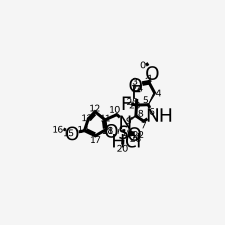 COC(=O)C[C@H]1NC[C@@H](N(Cc2ccc(OC)cc2)S(C)(=O)=O)C1(F)F.Cl